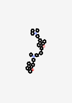 c1ccc(N(c2ccc(-c3cccc(-c4ccc5c6c(oc5c4)-c4ccccc4C64c5ccccc5-c5cc(-c6ccc(N(c7ccccc7)c7cccc8ccccc78)cc6)ccc54)c3)cc2)c2ccc(-c3ccc4c(c3)C3(c5ccccc5-c5ccccc53)c3c-4oc4ccccc34)cc2)cc1